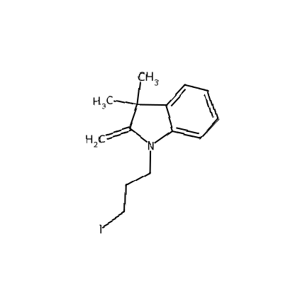 C=C1N(CCCI)c2ccccc2C1(C)C